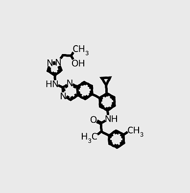 Cc1cccc(C(C)C(=O)Nc2ccc(C3CC3)c(-c3ccc4nc(Nc5cnn(CC(C)O)c5)ncc4c3)c2)c1